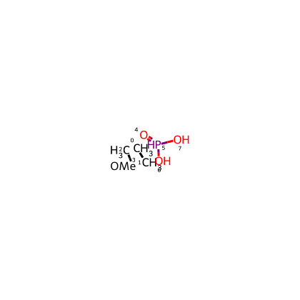 CC.COC.O=[PH](O)O